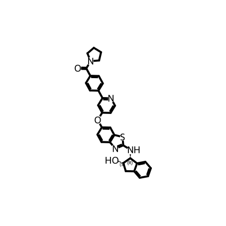 O=C(c1ccc(-c2cc(Oc3ccc4nc(N[C@@H]5c6ccccc6C[C@@H]5O)sc4c3)ccn2)cc1)N1CCCC1